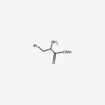 COC(=O)C(N)CC(C)C